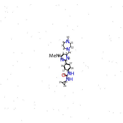 CNc1cc(CN2CCCN(C)CC2)nc(-c2ccc(NC(=O)NC3CC3)cc2)n1